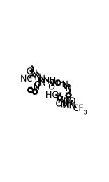 C=CC(=O)N1CCN(c2nc(NCCC(=O)N3CCC(CN4CCN(Cc5ccc(-n6c(C(=O)NCC(F)(F)F)nnc6-c6cc(C)c(O)cc6O)cc5)CC4)CC3)nc3c2CCN(c2cccc4ccccc24)C3)C[C@H]1CC#N